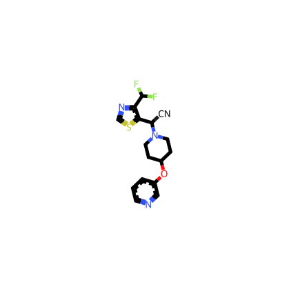 N#CC(c1scnc1C(F)F)N1CCC(Oc2cccnc2)CC1